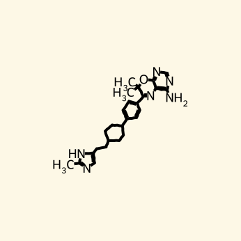 Cc1ncc(CCC2CCC(c3ccc(C4=Nc5c(N)ncnc5OC4(C)C)cc3)CC2)[nH]1